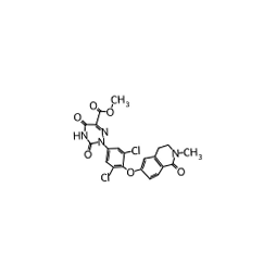 COC(=O)c1nn(-c2cc(Cl)c(Oc3ccc4c(c3)CCN(C)C4=O)c(Cl)c2)c(=O)[nH]c1=O